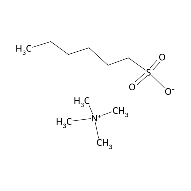 CCCCCCS(=O)(=O)[O-].C[N+](C)(C)C